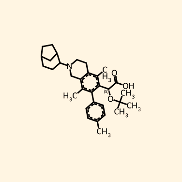 Cc1ccc(-c2c(C)c3c(c(C)c2[C@H](OC(C)(C)C)C(=O)O)CCN(C2CCC4CCC2C4)C3)cc1